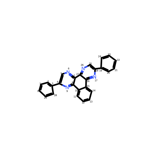 c1ccc(-c2cnc3c(n2)c2ccccc2c2nc(-c4ccccc4)cnc23)cc1